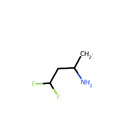 [CH2]C(N)CC(F)F